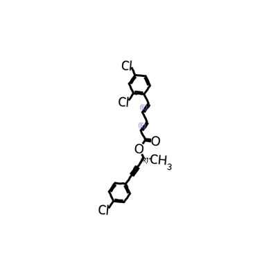 C[C@H](C#Cc1ccc(Cl)cc1)OC(=O)/C=C/C=C/c1ccc(Cl)cc1Cl